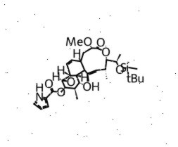 CO[C@H]1C[C@H]2C=C[C@H]3[C@H]4O[C@]2(/C(C)=C/[C@@H](C)[C@@H]([C@@H](C)O[Si](C)(C)C(C)(C)C)OC1=O)[C@@H]3[C@H](O)[C@@H](C)[C@H]4OC(=O)c1ccc[nH]1